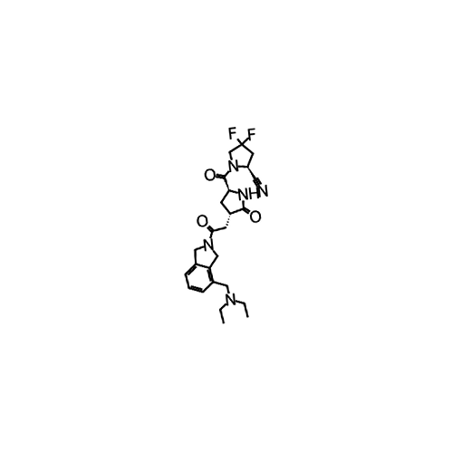 CCN(CC)Cc1cccc2c1CN(C(=O)C[C@@H]1C[C@@H](C(=O)N3CC(F)(F)C[C@H]3C#N)NC1=O)C2